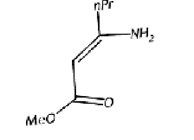 CCCC(N)=CC(=O)OC